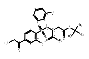 COC(=O)c1ccc(S(=O)(=O)N[C@@H](CC(=O)OC(C)(C)C)C(N)=O)c(O)c1.Oc1ccccc1